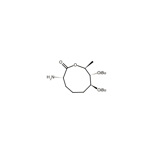 CC(C)CO[C@H]1[C@H](C)OC(=O)[C@@H](N)CCC[C@@H]1OCC(C)C